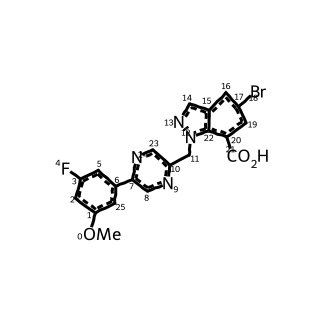 COc1cc(F)cc(-c2cnc(Cn3ncc4cc(Br)cc(C(=O)O)c43)cn2)c1